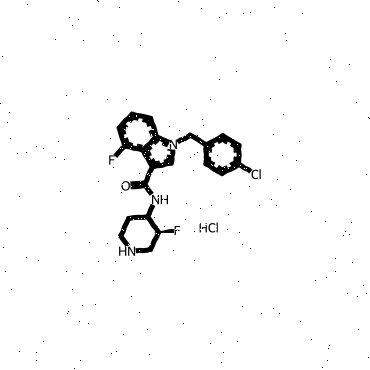 Cl.O=C(NC1CCNC[C@@H]1F)c1cn(Cc2ccc(Cl)cc2)c2cccc(F)c12